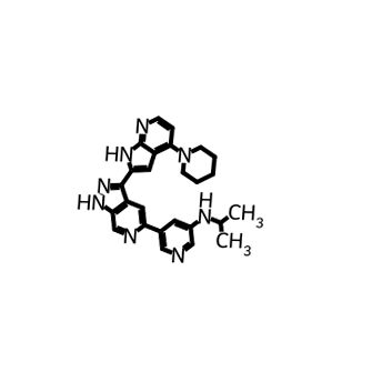 CC(C)Nc1cncc(-c2cc3c(-c4cc5c(N6CCCCC6)ccnc5[nH]4)n[nH]c3cn2)c1